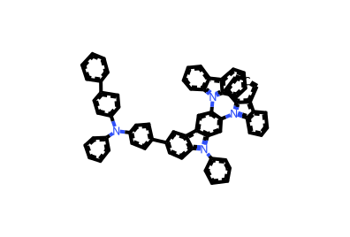 c1ccc(-c2ccc(N(c3ccccc3)c3ccc(-c4ccc5c(c4)c4cc(-n6c7ccccc7c7ccccc76)c(-n6c7ccccc7c7ccccc76)cc4n5-c4ccccc4)cc3)cc2)cc1